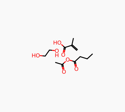 C=C(C)C(=O)O.CCCC(=O)OC(C)=O.OCCO